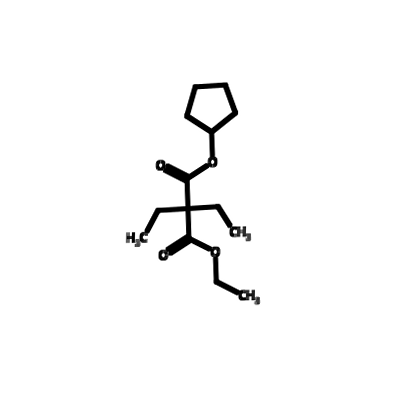 CCOC(=O)C(CC)(CC)C(=O)OC1CCCC1